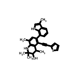 Cc1cc(-c2cccc3c(C)c[nH]c23)c(C#Cc2cccs2)c2c1NC(C)(C)C(O)C2C